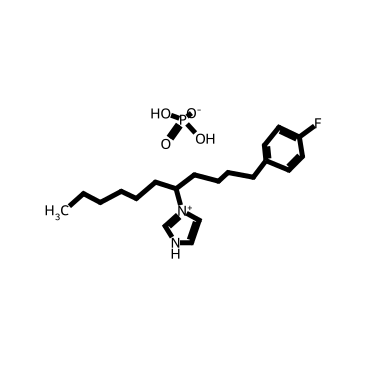 CCCCCCC(CCCCc1ccc(F)cc1)[n+]1cc[nH]c1.O=P([O-])(O)O